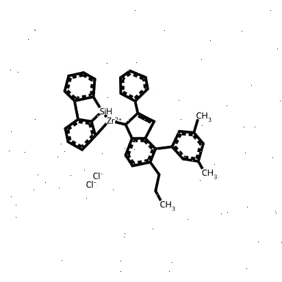 CCCc1ccc2c(c1-c1cc(C)cc(C)c1)C=C(c1ccccc1)[CH]2[Zr+2]1[c]2cccc3c2[SiH]1c1ccccc1-3.[Cl-].[Cl-]